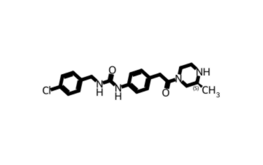 C[C@H]1CN(C(=O)Cc2ccc(NC(=O)NCc3ccc(Cl)cc3)cc2)CCN1